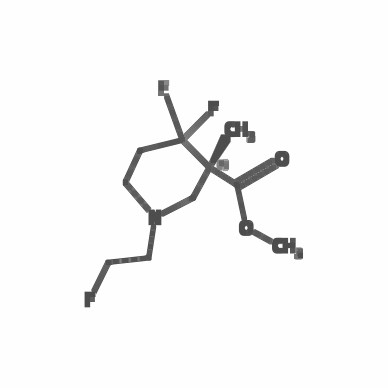 COC(=O)[C@]1(C)CN(CCF)CCC1(F)F